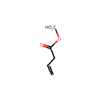 C=CCC(=O)OC(=O)O